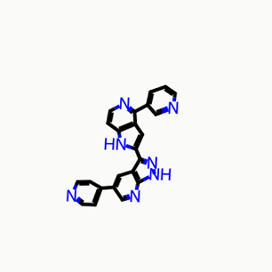 c1cncc(-c2nccc3[nH]c(-c4n[nH]c5ncc(-c6ccncc6)cc45)cc23)c1